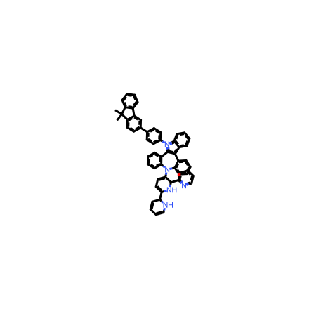 CC1(C)c2ccccc2-c2cc(-c3ccc(-n4c5c(c6ccccc64)-c4ccccc4N(C4=CC=C(C6C=CC=CN6)NC4c4ccccn4)c4ccccc4-5)cc3)ccc21